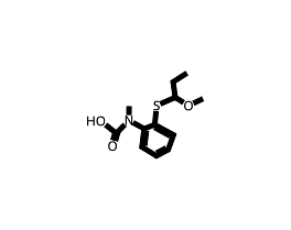 CCC(OC)Sc1ccccc1N(C)C(=O)O